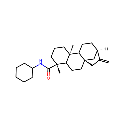 C=C1C[C@@]23CCC4[C@@](C)(CCC[C@@]4(C)C(=O)NC4CCCCC4)C2CC[C@@H]1C3